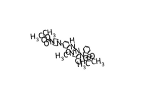 COc1cc(N2CCN(C(=O)OC(C)(C)C)CC2)ccc1Nc1ncc(Cl)c(Nc2ccccc2S(=O)(=O)C(C)C)n1